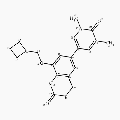 Cc1cc(-c2cc3c(c(OCC4CCC4)c2)NC(=O)CC3)cn(C)c1=O